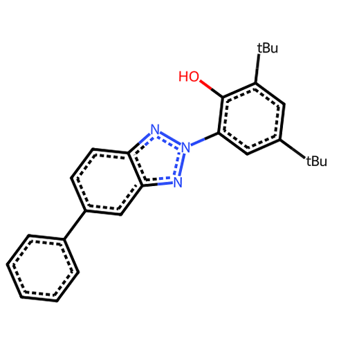 CC(C)(C)c1cc(-n2nc3ccc(-c4ccccc4)cc3n2)c(O)c(C(C)(C)C)c1